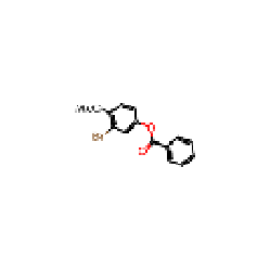 COc1ccc(OC(=O)c2ccccc2)cc1Br